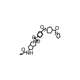 C=CC(=O)NC1CC2CN(S(=O)(=O)c3ccc(C(=O)N4CCC(C(=O)N5CCCC5)CC4)cc3)CC2C1